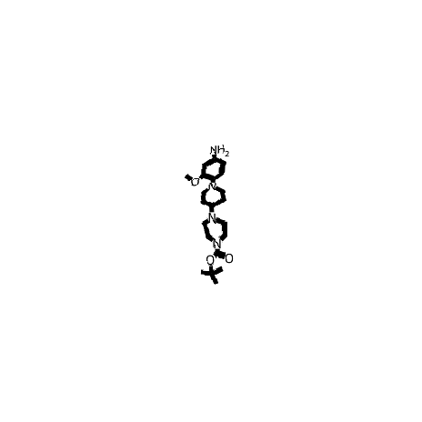 COc1cc(N)ccc1N1CCC(N2CCN(C(=O)OC(C)(C)C)CC2)CC1